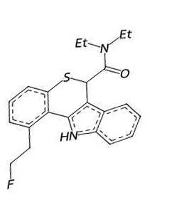 CCN(CC)C(=O)C1Sc2cccc(CCF)c2-c2[nH]c3ccccc3c21